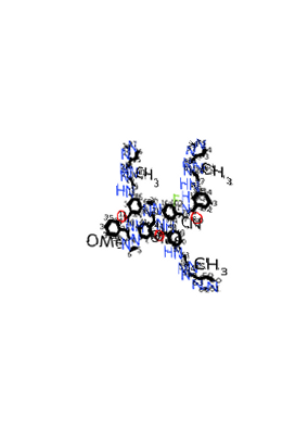 COc1cc(-n2ccnc2[C@@H](NC(=O)c2cccc(NCc3nnc(-c4ccncn4)n3C)c2)c2ccccc2OC)ccc1[C@@H](NC(=O)c1cccc(NCc2nnc(-c3ccncn3)n2C)c1)c1nccn1-c1ccc([C@H](C#N)NC(=O)c2cccc(NCc3nnc(-c4ccncn4)n3C)c2)c(F)c1